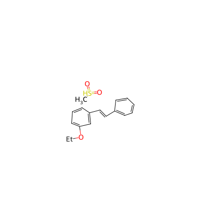 CCOc1cccc(/C=C/c2ccccc2)c1.C[SH](=O)=O